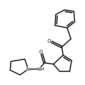 O=C(Cc1ccccc1)C1=CCCC1C(=O)NN1CCCC1